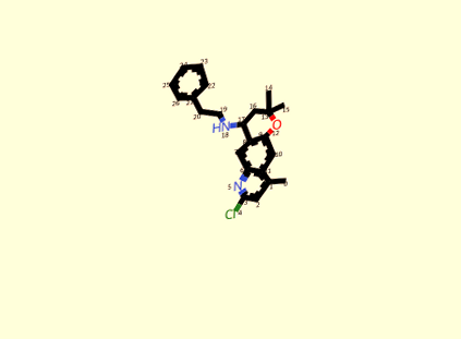 Cc1cc(Cl)nc2cc3c(cc12)OC(C)(C)CC3NCCc1ccccc1